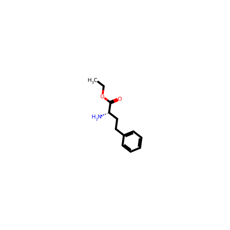 CCOC(=O)[C@@H](N)CCc1ccccc1